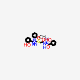 COc1ccccc1-n1c(SCC(=O)NNC(=O)c2ccccc2O)nnc1-c1ccccc1O